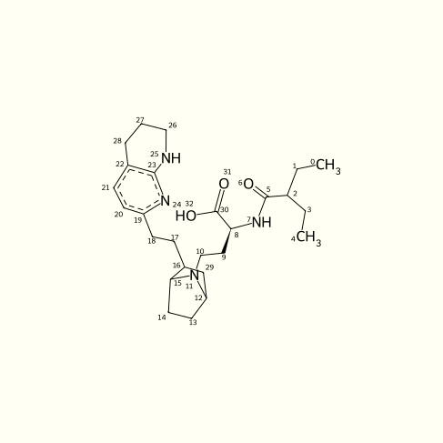 CCC(CC)C(=O)N[C@@H](CCN1C2CCC1C(CCc1ccc3c(n1)NCCC3)C2)C(=O)O